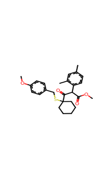 COC(=O)C(C(=O)C1(SCc2ccc(OC)cc2)CCCCC1)c1ccc(C)cc1C